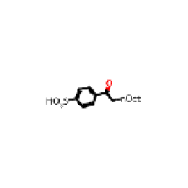 CCCCCCCCCC(=O)c1ccc(S(=O)(=O)O)cc1